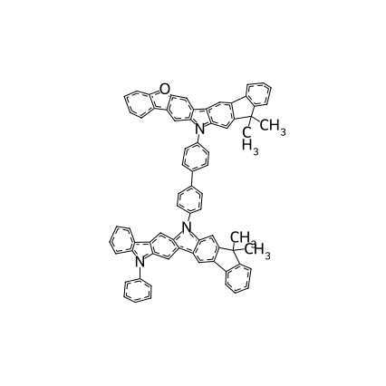 CC1(C)c2ccccc2-c2cc3c4cc5oc6ccccc6c5cc4n(-c4ccc(-c5ccc(-n6c7cc8c(cc7c7cc9c(cc76)c6ccccc6n9-c6ccccc6)-c6ccccc6C8(C)C)cc5)cc4)c3cc21